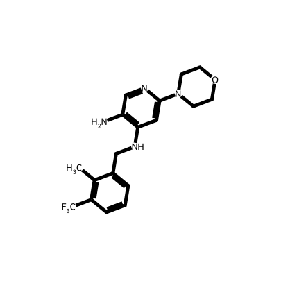 Cc1c(CNc2cc(N3CCOCC3)ncc2N)cccc1C(F)(F)F